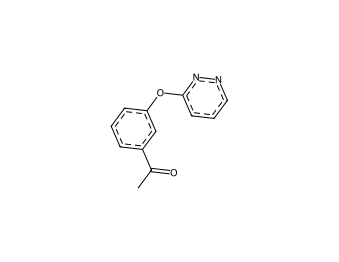 CC(=O)c1cccc(Oc2cccnn2)c1